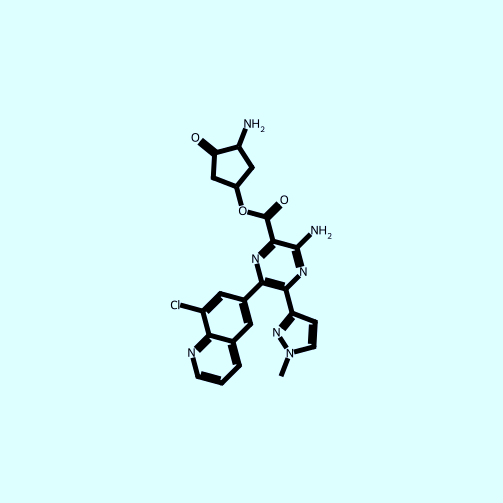 Cn1ccc(-c2nc(N)c(C(=O)OC3CC(=O)C(N)C3)nc2-c2cc(Cl)c3ncccc3c2)n1